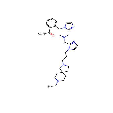 COC(=O)c1ccccc1Cn1ccnc1CN(C)Cc1nccn1CCCN1CCC2(CCN(CC(C)C)CC2)C1